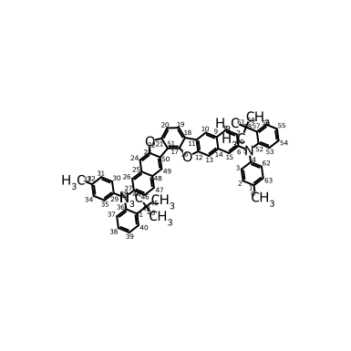 Cc1ccc(N(c2ccc3cc4c(cc3c2)oc2c4ccc3oc4cc5cc(N(c6ccc(C)cc6)c6ccccc6C(C)(C)C)ccc5cc4c32)c2ccccc2C(C)(C)C)cc1